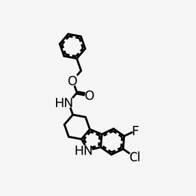 O=C(NC1CCc2[nH]c3cc(Cl)c(F)cc3c2C1)OCc1ccccc1